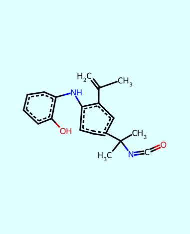 C=C(C)c1cc(C(C)(C)N=C=O)ccc1Nc1ccccc1O